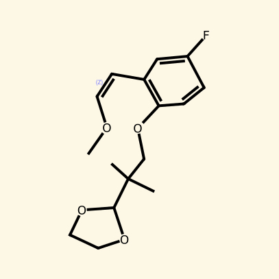 CO/C=C\c1cc(F)ccc1OCC(C)(C)C1OCCO1